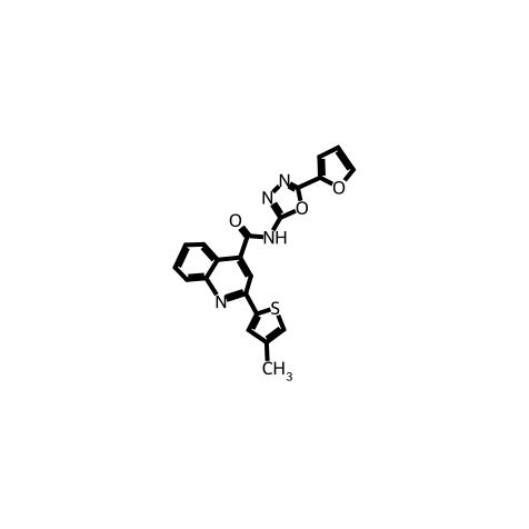 Cc1csc(-c2cc(C(=O)Nc3nnc(-c4ccco4)o3)c3ccccc3n2)c1